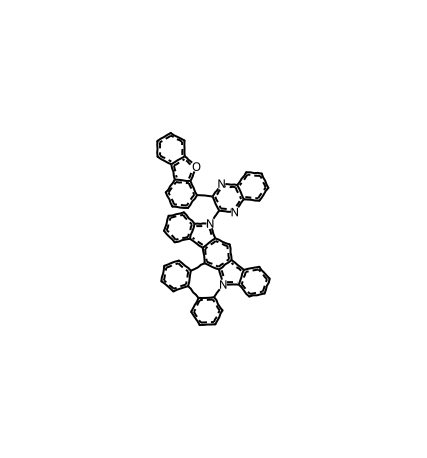 c1ccc2c(c1)-c1ccccc1-n1c3ccccc3c3cc4c(c-2c31)c1ccccc1n4-c1nc2ccccc2nc1-c1cccc2c1oc1ccccc12